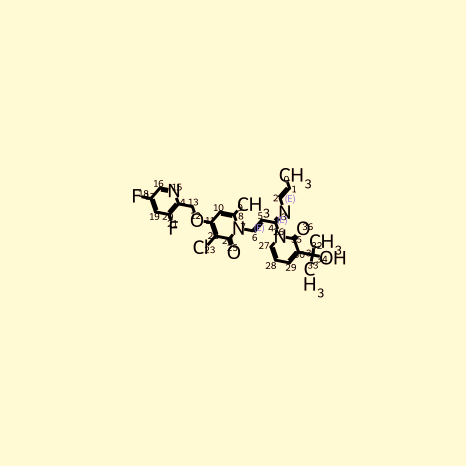 C/C=C/N=C(\C=C\n1c(C)cc(OCc2ncc(F)cc2F)c(Cl)c1=O)n1cccc(C(C)(C)O)c1=O